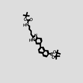 CC(C)(C)OC(=O)NCCCCc1nc2ccc(-c3ccc4ccc(B5OC(C)(C)C(C)(C)O5)cc4c3)cc2[nH]1